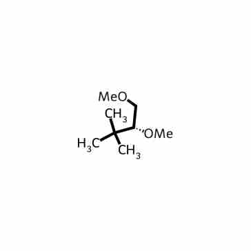 COC[C@H](OC)C(C)(C)C